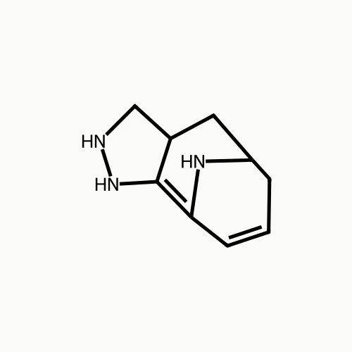 C1=CC2=C3NNCC3CC(C1)N2